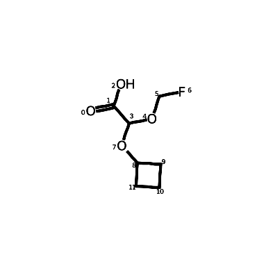 O=C(O)C(OCF)OC1CCC1